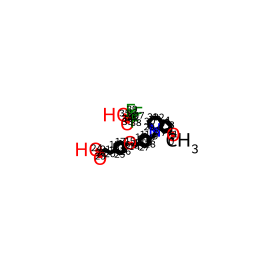 COc1ccc2c(c1)N(Cc1ccc(COc3ccc(CCC(=O)O)cc3)cc1)CCCC2.O=C(O)C(F)(F)F